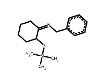 C[Si](C)(C)SC1CCCCC1=NCc1ccccc1